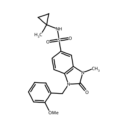 COc1ccccc1Cn1c(=O)n(C)c2cc(S(=O)(=O)NC3(C)CC3)ccc21